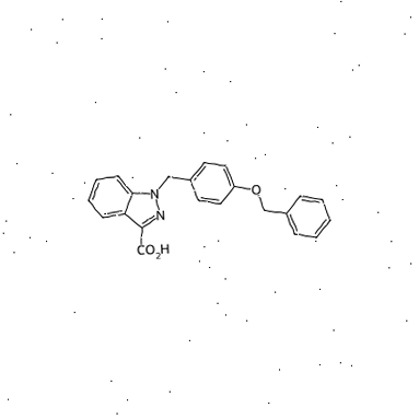 O=C(O)c1nn(Cc2ccc(OCc3ccccc3)cc2)c2ccccc12